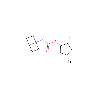 C[C@H]1C[C@@H](F)[C@@H](OC(=O)NC23CCC2CC3)C1